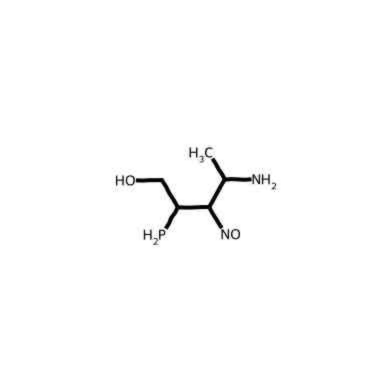 CC(N)C(N=O)C(P)CO